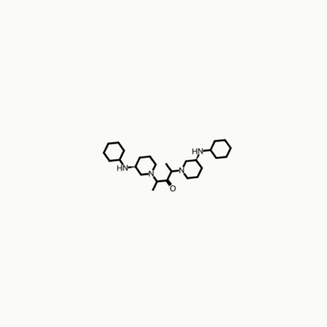 CC(C(=O)C(C)N1CCC[C@H](NC2CCCCC2)C1)N1CCC[C@H](NC2CCCCC2)C1